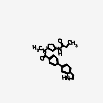 CCC(=O)N[C@H]1CC[C@@H](N(C)C(=O)c2ccc(-c3ccc4cc[nH]c4c3)cc2)C1